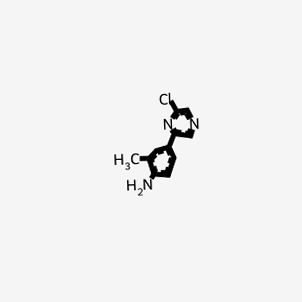 Cc1cc(-c2cncc(Cl)n2)ccc1N